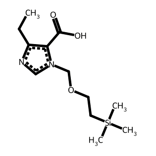 CCc1ncn(COCC[Si](C)(C)C)c1C(=O)O